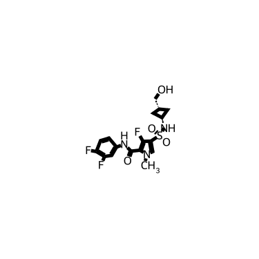 Cn1cc(S(=O)(=O)N[C@H]2C[C@@H](CO)C2)c(F)c1C(=O)Nc1ccc(F)c(F)c1